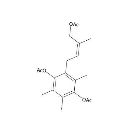 CC(=O)OCC(C)=CCc1c(C)c(OC(C)=O)c(C)c(C)c1OC(C)=O